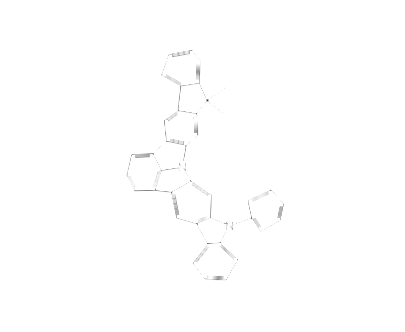 CC1(C)c2ccccc2-c2cc3c4cccc5c6cc7c8ccccc8n(-c8ccccc8)c7cc6n(c3cc21)c45